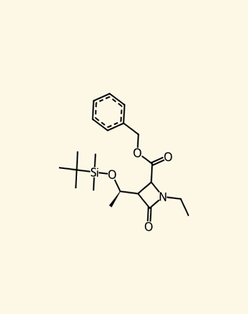 CCN1C(=O)C([C@@H](C)O[Si](C)(C)C(C)(C)C)C1C(=O)OCc1ccccc1